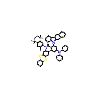 Cc1cc2c(cc1N1B3c4c(cc(N(c5ccccc5)c5ccccc5)cc4-n4c5cc6ccccc6cc5c5cccc3c54)-c3cc4c(cc31)Sc1ccccc1S4)C(C)(C)CCC2(C)C